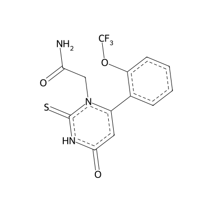 NC(=O)Cn1c(-c2ccccc2OC(F)(F)F)cc(=O)[nH]c1=S